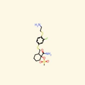 CS(=O)(=O)OC1(C(N)=O)CCCCC1CSc1ccc(SCCN)c(F)c1